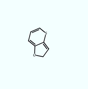 C1=CSC2=CCOC2=C1